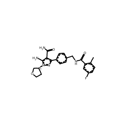 Cc1ccc(F)cc1C(=O)NCc1ccc(-c2nn([C@H]3CCOC3)c(N)c2C(N)=O)cc1